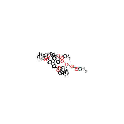 CCOC(=O)c1cc(C2(c3ccc(C)c(CC)c3)c3cc(B4OC(C)(C)C(C)(C)O4)ccc3-c3ccc(B4OC(C)(C)C(C)(C)O4)cc32)ccc1OCCOCCOCCOC